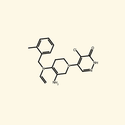 C=CN(Cc1ccccc1C)C1=C(N)CN(c2cn[nH]c(=O)c2Cl)CC1